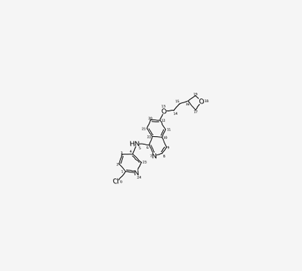 Clc1ccc(Nc2nccc3cc(OCCC4COC4)ccc23)cn1